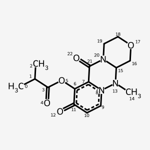 CC(C)C(=O)Oc1c2n(ccc1=O)N(C)C1COCCN1C2=O